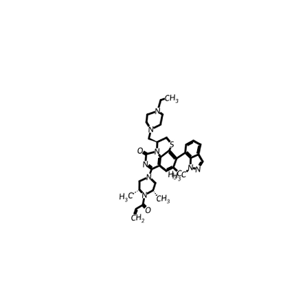 C=CC(=O)N1[C@H](C)CN(c2nc(=O)n3c4c(c(-c5cccc6cnn(C)c56)c(C)cc24)SC[C@@H]3CN2CCN(CC)CC2)C[C@@H]1C